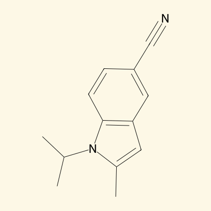 Cc1cc2cc(C#N)ccc2n1C(C)C